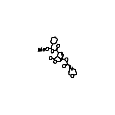 COC(OC(=O)C1C2CC3C(OC(=O)C31)C2OC(=O)CN1CCOCC1)C1CCCCC1